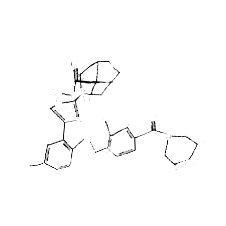 CCC1(C(=O)OC(C)(C)C)C2CCC1CN(c1nc(-c3cc(C)ccc3OCc3ccc(C(=O)N4CCCCC4)cc3C)cs1)C2